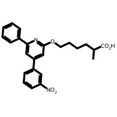 CC(CCCCOc1cc(-c2cccc([N+](=O)[O-])c2)cc(-c2ccccc2)n1)C(=O)O